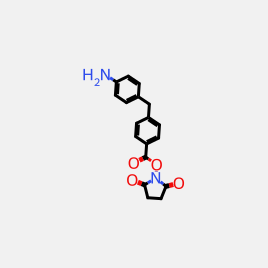 Nc1ccc(Cc2ccc(C(=O)ON3C(=O)CCC3=O)cc2)cc1